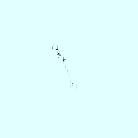 CCCCCCCCCCCC(=O)OCC(=O)Oc1ccccc1